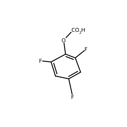 O=C(O)Oc1c(F)cc(F)cc1F